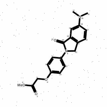 COC(=O)COc1ccc(N2Cc3ccc(N(C)C)cc3C2=O)cc1